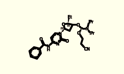 CC[C@H]1O[C@@H](n2ccc(NC(=O)c3ccccc3)nc2=O)CC1OP(OCCC#N)N(C(C)C)C(C)C